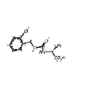 CC(C)[C@H](NC(=O)OCc1ccccc1Cl)C(=O)O